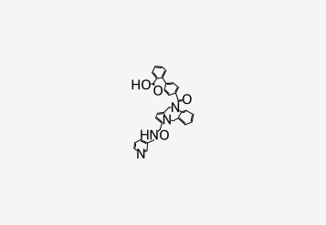 O=C(O)c1ccccc1-c1ccc(C(=O)N2Cc3ccc(C(=O)NCc4cccnc4)n3Cc3ccccc32)cc1